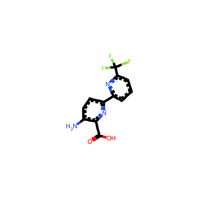 Nc1ccc(-c2cccc(C(F)(F)F)n2)nc1C(=O)O